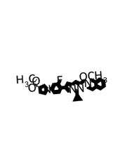 COC(=O)[C@H]1CCN(c2ccc(-c3cc4cc(C(=O)N5CCc6ccccc6[C@H]5C)nc(C5CC5)n4c3)c(F)c2)C1